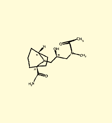 CC(=O)N(C)C[C@H](O)CN1[C@@H]2CCC[C@@]1(C(N)=O)CC2